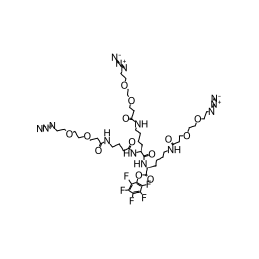 [N-]=[N+]=NCCOCCOCCC(=O)NCCCC[C@H](NC(=O)CCCNC(=O)CCOCCOCCN=[N+]=[N-])C(=O)N[C@@H](CCCCNC(=O)CCOCCOCCN=[N+]=[N-])C(=O)Oc1c(F)c(F)c(F)c(F)c1F